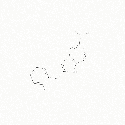 CCCCN(C=O)c1ccc2[nH]c(Cc3ccccc3C(=O)OCC)cc2c1